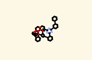 CC1(C)c2ccccc2C2(c3ccccc3-c3ccccc32)c2ccc(-c3ccccc3-c3nc(-c4cccc(-c5ccccc5)c4)nc(-c4cccc(-c5ccccc5)c4)n3)cc21